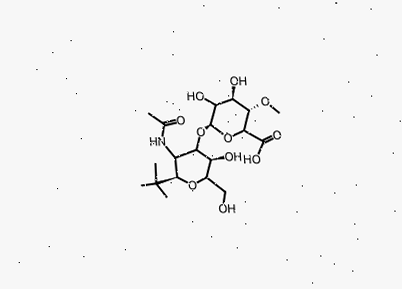 CO[C@@H]1C(C(=O)O)O[C@@H](OC2C(NC(C)=O)[C@H](C(C)(C)C)OC(CO)[C@@H]2O)C(O)[C@H]1O